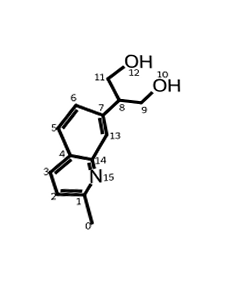 Cc1ccc2ccc(C(CO)CO)cc2n1